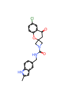 Cc1cc2cc(CNC(=O)N3CC4(CC(=O)c5cc(Cl)ccc5O4)C3)ccc2[nH]1